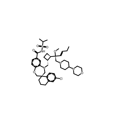 CC/C=C/[C@@](CN1CCC(N2CCOCC2)CC1)(OC)[C@@H]1CC[C@H]1CN1C[C@@]2(CCCc3cc(Cl)ccc32)COc2ccc(C(=O)NS(=O)(=O)C(C)C)cc21